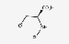 O=C(O)[C@H](CO)NBr